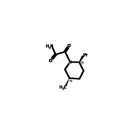 CC(C)[C@H]1CC[C@H](C)CN1C(=O)C(N)=O